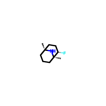 C[C@@]12CCC[C@@](C)(N1)[C@@H](F)CC2